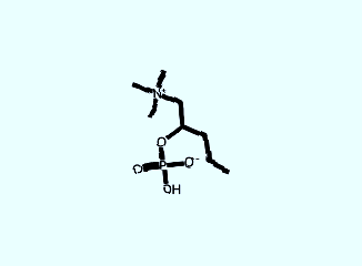 CCCC(C[N+](C)(C)C)OP(=O)([O-])O